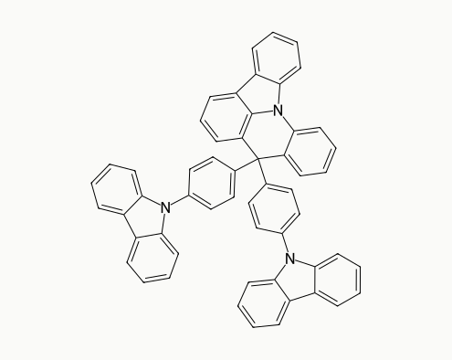 c1ccc2c(c1)-n1c3ccccc3c3cccc(c31)C2(c1ccc(-n2c3ccccc3c3ccccc32)cc1)c1ccc(-n2c3ccccc3c3ccccc32)cc1